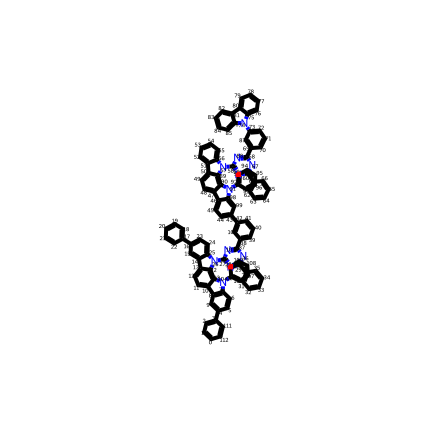 c1ccc(-c2ccc3c(c2)c2ccc4c5cc(-c6ccccc6)ccc5n(-c5nc(-c6ccccc6)nc(-c6cccc(-c7ccc8c9ccc%10c%11ccccc%11n(-c%11nc(-c%12ccccc%12)nc(-c%12cccc(-n%13c%14ccccc%14c%14ccccc%14%13)c%12)n%11)c%10c9n(-c9ccccc9)c8c7)c6)n5)c4c2n3-c2ccccc2)cc1